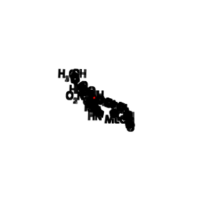 COc1cc(CN2CCN(C3CC4(CCN(c5ccc(C(=O)NS(=O)(=O)c6cc7c(c([N+](=O)[O-])c6)N[C@H](CC6CCC(C)(O)CC6)CO7)c(N6c7cc8cc[nH]c8nc7O[C@H]7COCC[C@@H]76)c5)CC4)C3)[C@H](c3ccccc3C)C2)cnc1N1CCOCC1